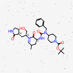 CC(C)C[C@H](NC(=O)N(Cc1ccccc1)C1CCN(C(=O)OC(C)(C)C)CC1)C(=O)N[C@H](CO)C[C@@H]1CCNC1=O